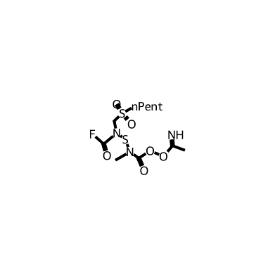 CCCCCS(=O)(=O)CN(SN(C)C(=O)OOC(C)=N)C(=O)F